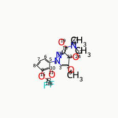 COc1cn(-c2cccc3c2OC(F)(F)O3)nc(C(=O)N(C)C)c1=O